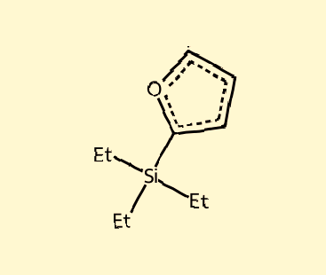 CC[Si](CC)(CC)c1cc[c]o1